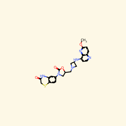 COc1ccc2nccc(NC3CN(CC4CN(c5ccc6c(c5)NC(=O)CS6)C(=O)O4)C3)c2n1